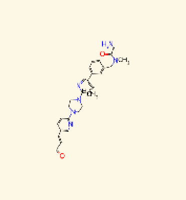 C/C=C(\C=N/C(C)N1CCN(c2ccc(/C=C/C=O)cn2)CC1)c1cccc(CN(C)C(=O)CN)c1